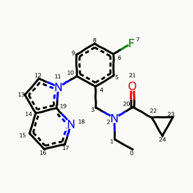 CCN(Cc1cc(F)ccc1-n1ccc2cccnc21)C(=O)C1CC1